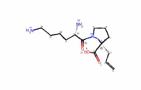 C=CC[C@@]1(C(=O)O)CCCN1C(=O)[C@@H](N)CCCCN